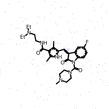 CCN(CC)CCNC(=O)c1c(C)[nH]c(/C=C2\C(=O)N(C(=O)N3CCN(C)CC3)c3ccc(F)cc32)c1C